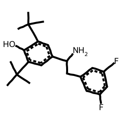 CC(C)(C)c1cc(C(N)Cc2cc(F)cc(F)c2)cc(C(C)(C)C)c1O